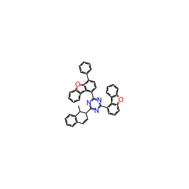 CC1c2ccccc2C=CC1c1nc(-c2cccc3oc4ccccc4c23)nc(-c2ccc(-c3ccccc3)c3oc4ccccc4c23)n1